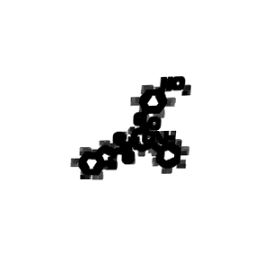 NOP(=O)(CN(CCc1ccccc1)S(=O)(=O)c1cc2ccccc2s1)Oc1ccc([N+](=O)[O-])cc1